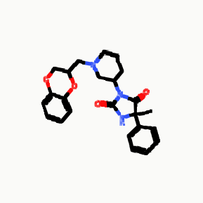 CC1(c2ccccc2)NC(=O)N(C2CCCN(CC3COc4ccccc4O3)C2)C1=O